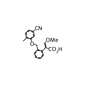 COC=C(C(=O)O)c1ccccc1COc1cc(C#N)ccc1C